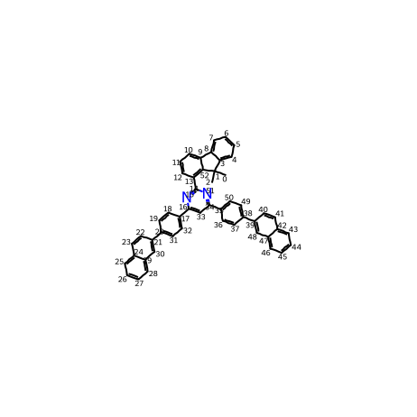 CC1(C)c2ccccc2-c2cccc(-c3nc(-c4ccc(-c5ccc6ccccc6c5)cc4)cc(-c4ccc(-c5ccc6ccccc6c5)cc4)n3)c21